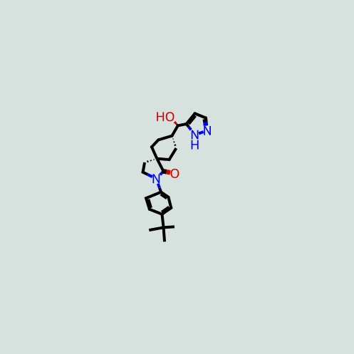 CC(C)(C)c1ccc(N2CC[C@]3(CC[C@@H]([C@@H](O)c4ccn[nH]4)CC3)C2=O)cc1